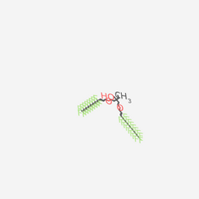 CCC(CO)(CCOCC=CC(F)(F)C(F)(F)C(F)(F)C(F)(F)C(F)(F)C(F)(F)C(F)(F)C(F)(F)F)CCOCC=CC(F)(F)C(F)(F)C(F)(F)C(F)(F)C(F)(F)C(F)(F)C(F)(F)C(F)(F)F